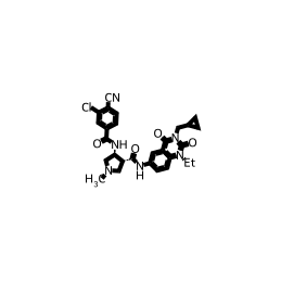 CCn1c(=O)n(CC2CC2)c(=O)c2cc(NC(=O)[C@@H]3CN(C)C[C@@H]3NC(=O)c3ccc(C#N)c(Cl)c3)ccc21